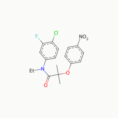 CCN(C(=O)C(C)(C)Oc1ccc([N+](=O)[O-])cc1)c1ccc(Cl)c(F)c1